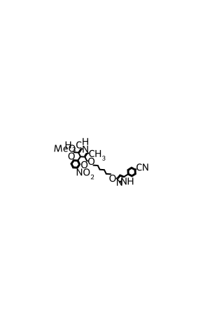 COC(=O)C1=C(C)NC(C)=C(C(=O)OCCCCCCOc2cc(-c3ccc(C#N)cc3)[nH]n2)C1c1cccc([N+](=O)[O-])c1